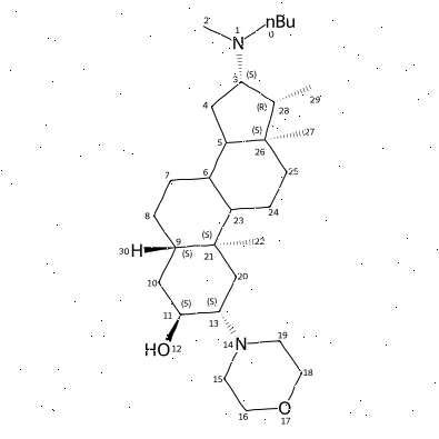 CCCCN(C)[C@H]1CC2C3CC[C@H]4C[C@H](O)[C@@H](N5CCOCC5)C[C@]4(C)C3CC[C@]2(C)[C@H]1C